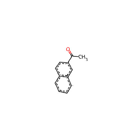 CC(=O)c1ccc2ccc[c]c2c1